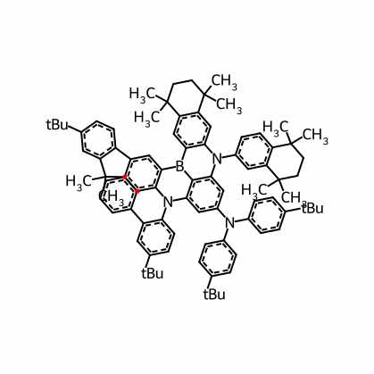 CC(C)(C)c1ccc(N(c2ccc(C(C)(C)C)cc2)c2cc3c4c(c2)N(c2ccc(C(C)(C)C)cc2-c2ccccc2)c2cc5c(cc2B4c2cc4c(cc2N3c2ccc3c(c2)C(C)(C)CCC3(C)C)C(C)(C)CCC4(C)C)-c2ccc(C(C)(C)C)cc2C5(C)C)cc1